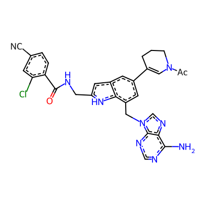 CC(=O)N1C=C(c2cc(Cn3cnc4c(N)ncnc43)c3[nH]c(CNC(=O)c4ccc(C#N)cc4Cl)cc3c2)CCC1